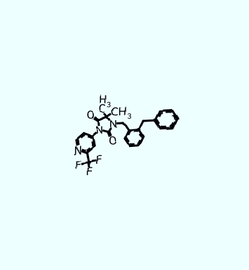 CC1(C)C(=O)N(c2ccnc(C(F)(F)F)c2)C(=O)N1Cc1ccccc1Cc1ccccc1